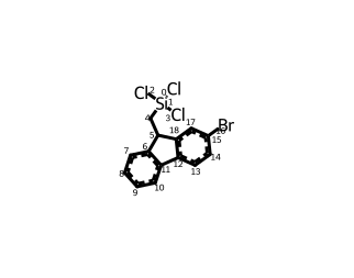 Cl[Si](Cl)(Cl)CC1c2ccccc2-c2ccc(Br)cc21